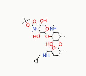 CN[C@@H]1C[C@H](C)C(O[C@H]2OC(CNCC3CC3)=CC[C@H]2C)[C@H](O)[C@H]1O[C@H]1OC[C@](C)(O)[C@H](N(C)C(=O)OC(C)(C)C)[C@H]1O